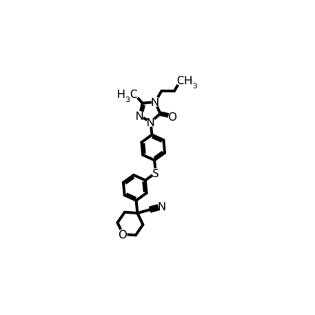 CCCn1c(C)nn(-c2ccc(Sc3cccc(C4(C#N)CCOCC4)c3)cc2)c1=O